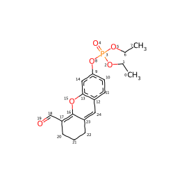 CCOP(=O)(OCC)Oc1ccc2c(c1)OC1=C(C=O)CCCC1=C2